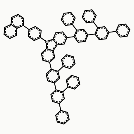 c1ccc(-c2ccc(-c3ccc(-c4ccc5c(c4)c4cc(-c6ccc(-c7ccc(-c8ccccc8)cc7-c7ccccc7)cc6-c6ccccc6)ccc4n5-c4ccc(-c5cccc6ccccc56)cc4)c(-c4ccccc4)c3)c(-c3ccccc3)c2)cc1